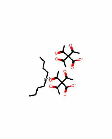 CC(=O)C(C(C)=O)(C(C)=O)C(=O)[O-].CC(=O)C(C(C)=O)(C(C)=O)C(=O)[O-].CCC[CH2][Sn+2][CH2]CCC